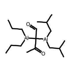 CC[CH2][Al]([CH2]CC)[C](C=O)(C(C)=O)[Al]([CH2]C(C)C)[CH2]C(C)C